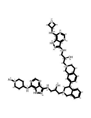 CC(=O)N1CCC(Nc2ncnc3c(NCC(O)CN4Cc5ccccc5C(c5ccc6c(c5)CN(C[C@H](O)CNc5n[nH]c7c(NC8COC8)ncnc57)CC6)C4)n[nH]c23)CC1